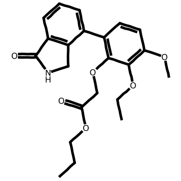 CCCOC(=O)COc1c(-c2cccc3c2CNC3=O)ccc(OC)c1OCC